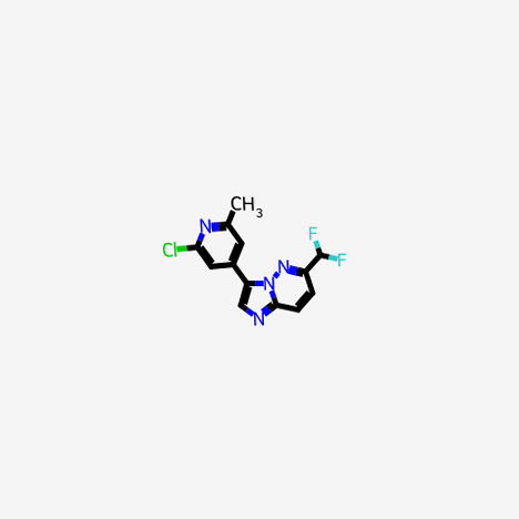 Cc1cc(-c2cnc3ccc(C(F)F)nn23)cc(Cl)n1